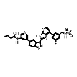 CCCC(O)Nc1cncc(-c2ccc3[nH]nc(-c4nc5c(-c6cc(F)cc(CNS(C)(=O)=O)c6)ccnc5[nH]4)c3c2)c1